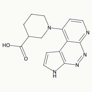 O=C(O)C1CCCN(c2ccnc3nnc4[nH]ccc4c23)C1